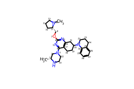 C[C@@H]1CN(c2nc(OC[C@@H]3CCCN3C)nc3c2CCC(N2CCCc4ccccc42)C3)CCN1